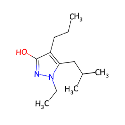 CCCc1c(O)nn(CC)c1CC(C)C